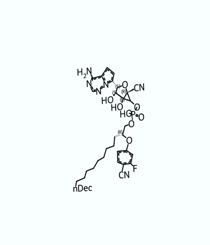 CCCCCCCCCCCCCCCCCCC[C@H](COP(=O)(O)OC1[C@@]2(C#N)O[C@@H](c3ccc4c(N)ncnn34)[C@H](O)[C@@]12O)Oc1ccc(C#N)c(F)c1